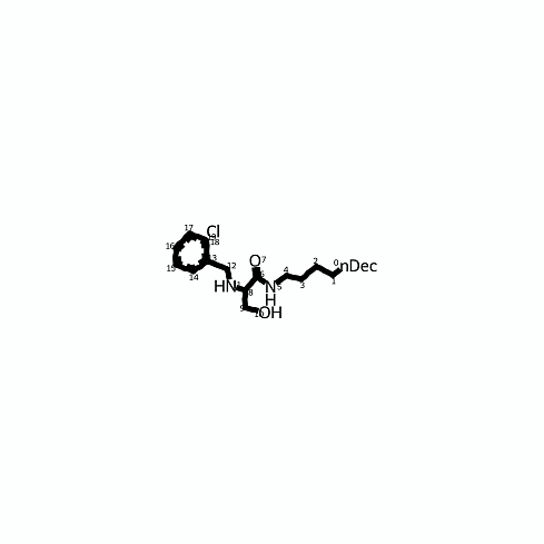 CCCCCCCCCCCCCCNC(=O)C(CO)NCc1ccccc1Cl